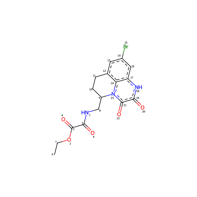 CCOC(=O)C(=O)NCC1CCc2cc(Br)cc3[nH]c(=O)c(=O)n1c23